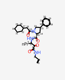 C=CCNC(=O)C(=O)C(CCC)NC(=O)[C@@H]1CC(c2ccccc2)CN1C(=O)CC1CCCCC1